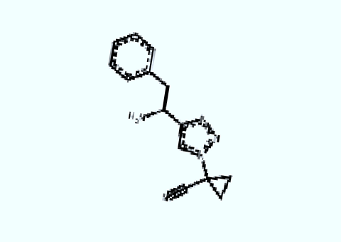 N#CC1(n2cc([C@@H](N)Cc3ccccc3)nn2)CC1